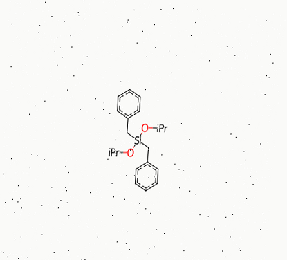 CC(C)O[Si](Cc1ccccc1)(Cc1ccccc1)OC(C)C